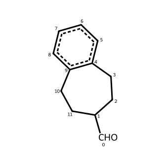 O=CC1CCc2ccccc2CC1